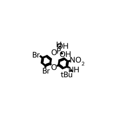 CC(C)(C)Nc1cc(Oc2ccc(Br)cc2Br)ccc1[N+](=O)[O-].O=[PH](O)O